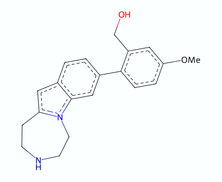 COc1ccc(-c2ccc3cc4n(c3c2)CCNCC4)c(CO)c1